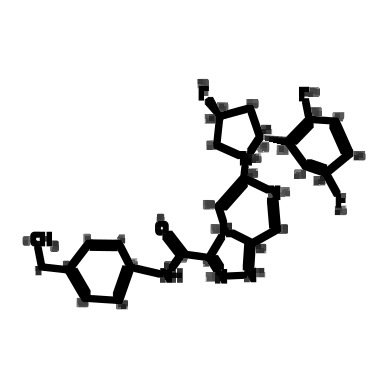 CCc1ccc(NC(=O)c2nnc3cnc(N4C[C@@H](F)C[C@@H]4c4cc(F)ccc4F)cn23)cc1